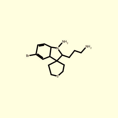 NCCCC1N(N)C2C=CC(Br)=CC2C12CCSCC2